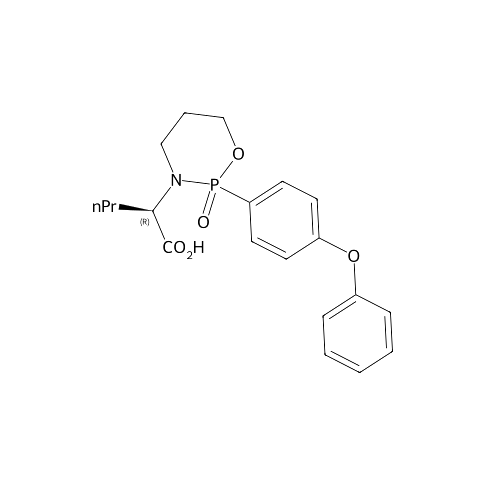 CCC[C@H](C(=O)O)N1CCCOP1(=O)c1ccc(Oc2ccccc2)cc1